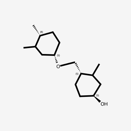 CC1C[C@@H](O)CC[C@@H]1CO[C@H]1CC[C@@H](C)C(C)C1